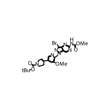 COC(=O)Nc1ncc2c(n1)c(Br)nn2Cc1ncc(C2=CCN(C(=O)OC(C)(C)C)CC2)cc1OC